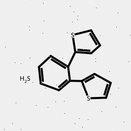 S.c1csc(-c2ccccc2-c2cccs2)c1